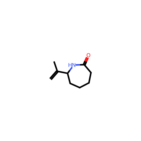 C=C(C)C1CCCCC(=O)N1